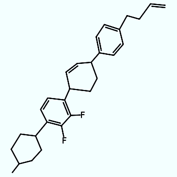 C=CCCc1ccc(C2C=CC(c3ccc(C4CCC(C)CC4)c(F)c3F)CC2)cc1